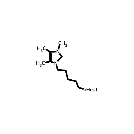 CCCCCCCCCCCCN1CN(C)C(C)=C1C